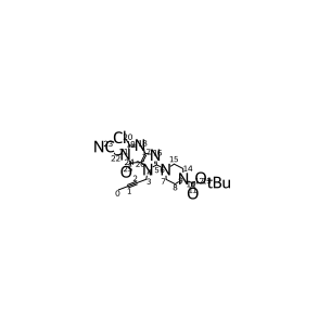 CC#CCn1c(N2CCN(C(=O)OC(C)(C)C)CC2)nc2nc(Cl)n(CC#N)c(=O)c21